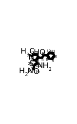 Cc1cc(CC(O)c2ccccc2)c2c(N)c(C(N)=O)sc2n1